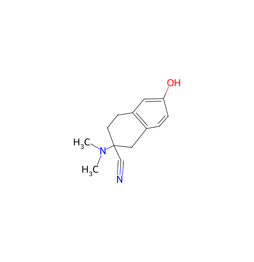 CN(C)C1(C#N)CCc2cc(O)ccc2C1